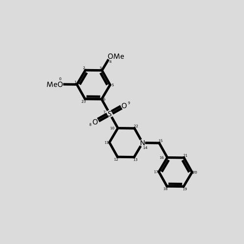 COc1cc(OC)cc(S(=O)(=O)C2CCCN(Cc3ccccc3)C2)c1